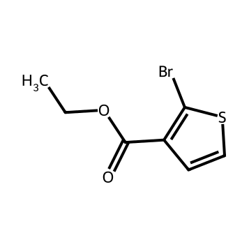 CCOC(=O)c1ccsc1Br